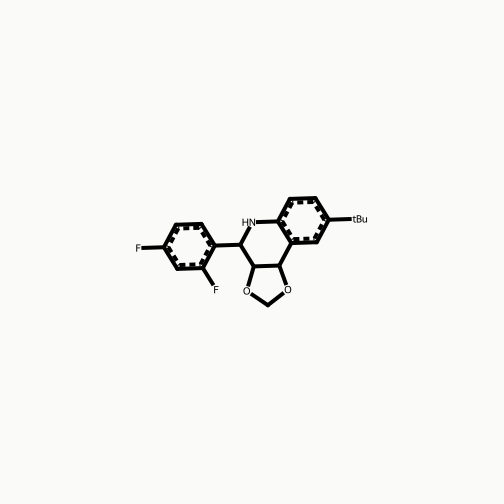 CC(C)(C)c1ccc2c(c1)C1OCOC1C(c1ccc(F)cc1F)N2